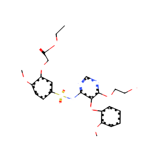 CCOC(=O)COc1cc(S(=O)(=O)Nc2ncnc(OCCO)c2Oc2ccccc2OC)ccc1OC